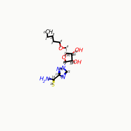 CCCCCOC[C@H]1O[C@@H](n2cnc(C(N)=S)n2)[C@H](O)[C@@H]1O